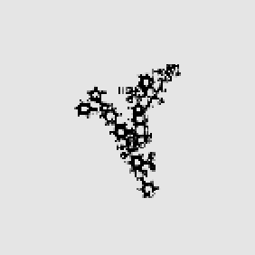 Cc1ccccc1[C@@H]1CCCN1C1CC2(CCN(c3ccc(C(=O)NS(=O)(=O)c4ccc(NCC5CCOCC5)c([N+](=O)[O-])c4)c(N4c5cc6ccn(COC(=O)N(CCOP(=O)(O)O)c7ncccc7COP(=O)(O)O)c6nc5O[C@@H]5COC[C@H]54)c3)CC2)C1